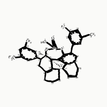 O=P1(O)Oc2c(-c3cc(C(F)(F)F)cc(C(F)(F)F)c3)cc3c(c2[C@H]2C4=C(CCCC4)CC(c4cc(C(F)(F)F)cc(C(F)(F)F)c4)[C@H]2O1)CCCC3